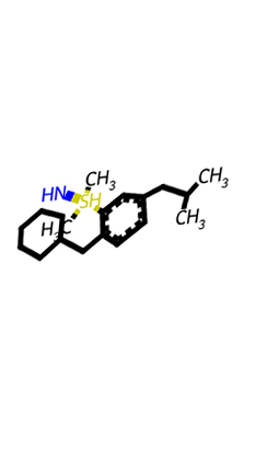 CC(C)Cc1ccc(CC2CCCCC2)c([SH](C)(C)=N)c1